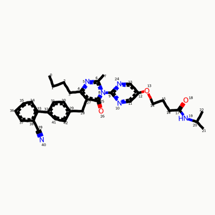 CCCCc1nc(C)n(-c2ncc(OCCCC(=O)NC(C)C)cn2)c(=O)c1Cc1ccc(-c2ccccc2C#N)cc1